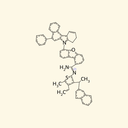 C=Cc1c(C)sc(/N=C(\N)c2cccc3oc4c(-n5c6c(c7c8ccccc8c(-c8ccccc8)cc75)C=CCC6)cccc4c23)c1C(C)c1ccc2ccccc2c1